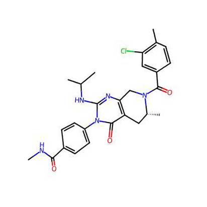 CNC(=O)c1ccc(-n2c(NC(C)C)nc3c(c2=O)C[C@@H](C)N(C(=O)c2ccc(C)c(Cl)c2)C3)cc1